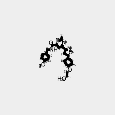 COc1ccc(CNC(=O)c2cc(C3=NOC(c4ccc(OCCO)cc4)C3)nc(C)n2)cc1